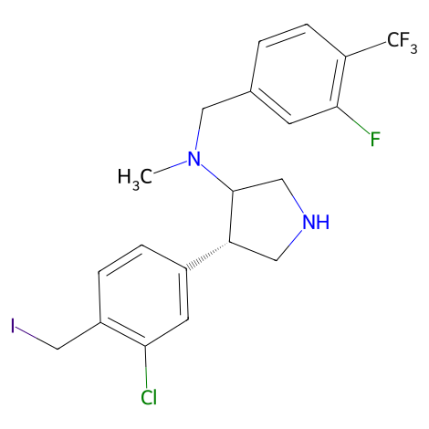 CN(Cc1ccc(C(F)(F)F)c(F)c1)C1CNC[C@@H]1c1ccc(CI)c(Cl)c1